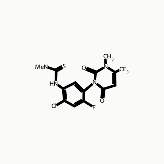 CNC(=S)Nc1cc(-n2c(=O)cc(C(F)(F)F)n(C)c2=O)c(F)cc1Cl